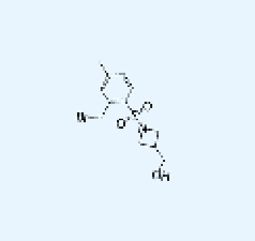 Cc1ccc(S(=O)(=O)N2CC(CO)C2)c(CBr)c1